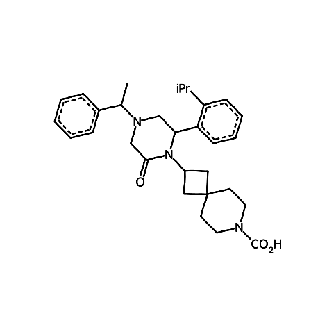 CC(C)c1ccccc1C1CN(C(C)c2ccccc2)CC(=O)N1C1CC2(CCN(C(=O)O)CC2)C1